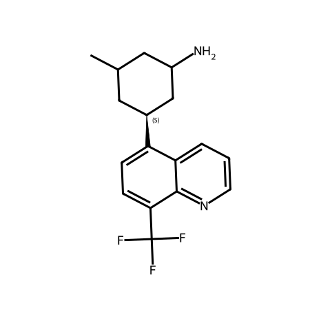 CC1CC(N)C[C@@H](c2ccc(C(F)(F)F)c3ncccc23)C1